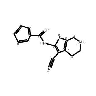 N#Cc1c(NC(=O)c2ccccc2)sc2c1CCNC2